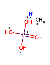 C.O=P(O)(O)O.[N]